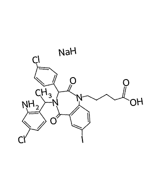 CC(c1ccc(Cl)cc1N)N1C(=O)c2cc(I)ccc2N(CCCCC(=O)O)C(=O)C1c1ccc(Cl)cc1.[NaH]